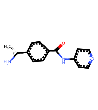 C[C@@H](N)c1ccc(C(=O)Nc2ccncc2)cc1